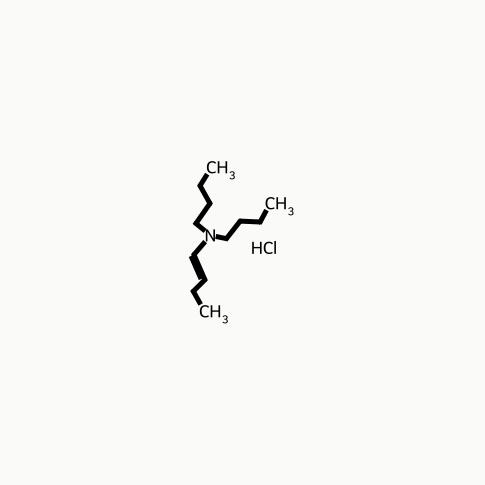 CCC=CN(CCCC)CCCC.Cl